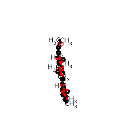 C=C(C)C(=O)Cc1ccc(-c2ccc(-c3ccc4c(c3)C3(c5cc(-c6ccc7c(c6)C6(c8cc(-c9ccc(-c%10ccc(-c%11ccc%12c(c%11)C%11(c%13cc(-c%14ccc(C)cc%14)ccc%13-%12)C%12(CCC)CCCC%11(CCC)CCC%12)cc%10)cc9)ccc8-7)C7(CC)CCCC6(CC)CCC7)ccc5-4)C4(C)CCCC3(C)CCC4)cc2)cc1